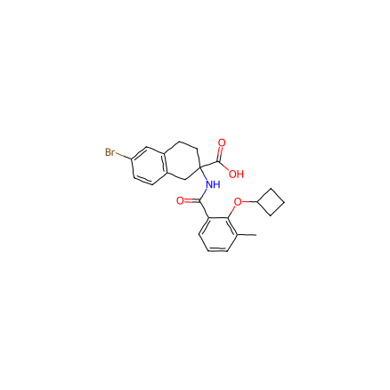 Cc1cccc(C(=O)NC2(C(=O)O)CCc3cc(Br)ccc3C2)c1OC1CCC1